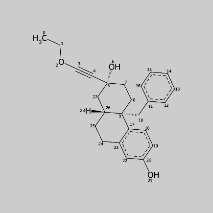 CCOC#C[C@@]1(O)CC[C@@]2(Cc3ccccc3)c3ccc(O)cc3CC[C@@H]2C1